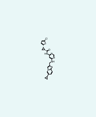 O=C(Nc1cc(NCc2cn3cc(C4CC4)ccc3n2)ncn1)[C@H]1C[C@@H]1c1ccc(Cl)s1